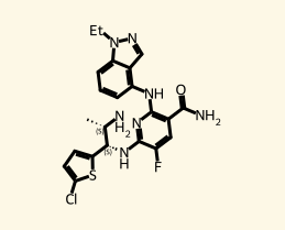 CCn1ncc2c(Nc3nc(N[C@H](c4ccc(Cl)s4)[C@H](C)N)c(F)cc3C(N)=O)cccc21